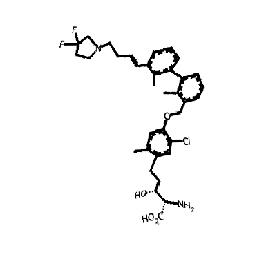 Cc1cc(OCc2cccc(-c3cccc(/C=C/CCN4CCC(F)(F)C4)c3C)c2C)c(Cl)cc1CC[C@@H](O)[C@H](N)C(=O)O